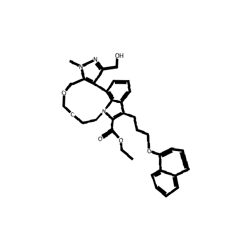 CCOC(=O)c1c(CCCOc2cccc3ccccc23)c2cccc3c2n1CCCCOCc1c-3c(CO)nn1C